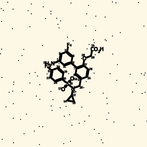 Nc1cc(F)cc(-c2cc(CN(C3CC3)S(=O)(=O)c3ccc(F)cc3)ccc2OCC(=O)O)c1